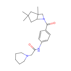 CC1(C)CC2N(C(=O)c3ccc(NC(=O)CN4CCCCC4)cc3)CC2(C)C1